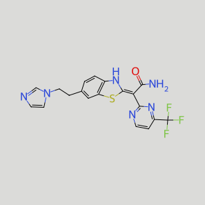 NC(=O)/C(=C1\Nc2ccc(CCn3ccnc3)cc2S1)c1nccc(C(F)(F)F)n1